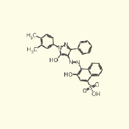 Cc1ccc(-n2nc(-c3ccccc3)c(N=Nc3c(O)cc(S(=O)(=O)O)c4ccccc34)c2O)cc1C